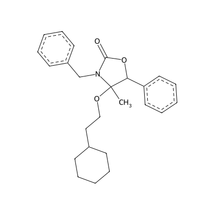 CC1(OCCC2CCCCC2)C(c2ccccc2)OC(=O)N1Cc1ccccc1